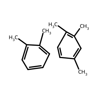 Cc1ccc(C)c(C)c1.Cc1ccccc1C